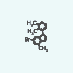 Cc1cccc(C2C=Cc3c(C)cc(Br)cc32)c1C